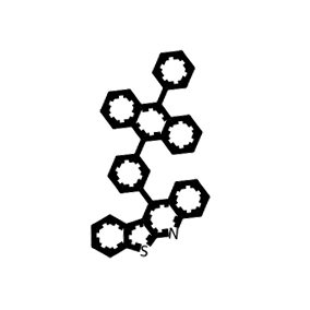 c1ccc(-c2c3ccccc3c(-c3cccc(-c4c5ccccc5nc5sc6ccccc6c45)c3)c3ccccc23)cc1